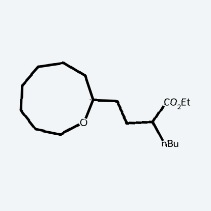 [CH2]CCCC(CC[C]1CCCCCCCO1)C(=O)OCC